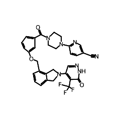 N#Cc1ccc(N2CCN(C(=O)c3cccc(OCc4cccc5c4CN(c4cn[nH]c(=O)c4C(F)(F)F)C5)c3)CC2)nc1